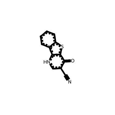 N#Cc1c[nH]c2c(sc3ccccc32)c1=O